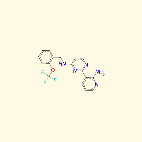 Nc1ncccc1-c1nccc(NCc2ccccc2OC(F)(F)F)n1